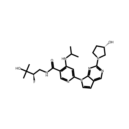 CC(C)Nc1cc(-n2ccc3cnc(N4CC[C@H](O)C4)nc32)ncc1C(=O)NC[C@@H](F)C(C)(C)O